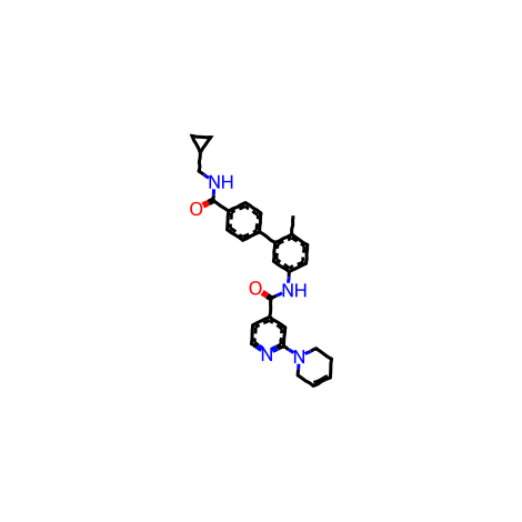 Cc1ccc(NC(=O)c2ccnc(N3CC=CCC3)c2)cc1-c1ccc(C(=O)NCC2CC2)cc1